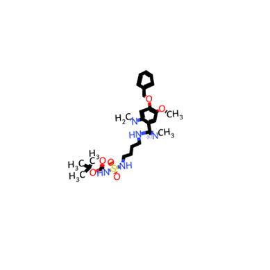 C=Nc1cc(OCc2ccccc2)c(OC)cc1/C(=N\C)NCCCCNS(=O)(=O)NC(=O)OC(C)(C)C